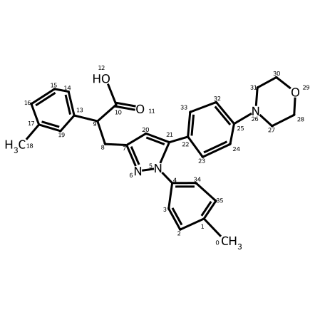 Cc1ccc(-n2nc(CC(C(=O)O)c3cccc(C)c3)cc2-c2ccc(N3CCOCC3)cc2)cc1